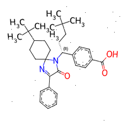 CC(C)(C)CC[C@H](c1ccc(C(=O)O)cc1)N1C(=O)C(c2ccccc2)=NC12CCC(C(C)(C)C)CC2